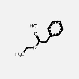 CCOC(=O)Cc1ccccc1.Cl